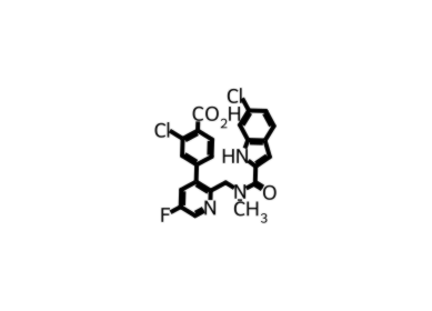 CN(Cc1ncc(F)cc1-c1ccc(C(=O)O)c(Cl)c1)C(=O)c1cc2ccc(Cl)cc2[nH]1